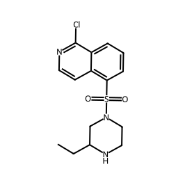 CCC1CN(S(=O)(=O)c2cccc3c(Cl)nccc23)CCN1